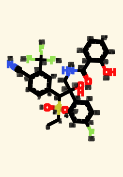 CCS(=O)(=O)C(c1ccc(C#N)c(C(F)(F)F)c1)C(O)(CNC(=O)c1ccccc1O)c1ccc(F)cc1